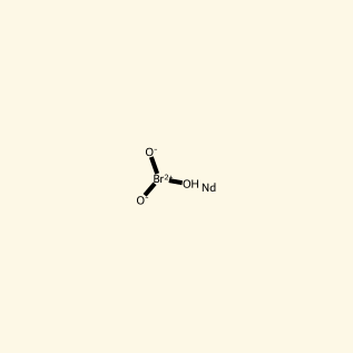 [Nd].[O-][Br+2]([O-])O